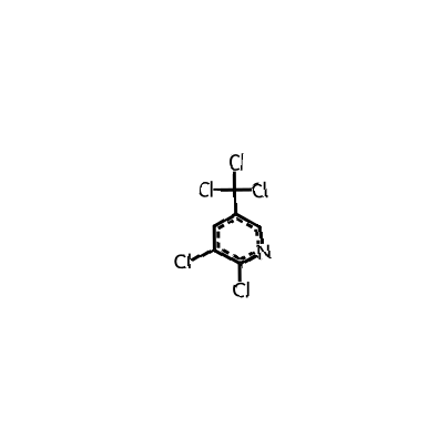 Clc1cc(C(Cl)(Cl)Cl)cnc1Cl